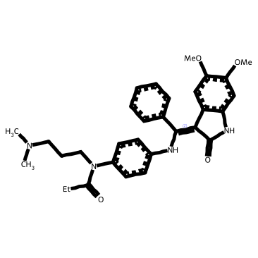 CCC(=O)N(CCCN(C)C)c1ccc(N/C(=C2\C(=O)Nc3cc(OC)c(OC)cc32)c2ccccc2)cc1